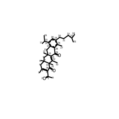 CC(=O)C1=C(C)CC2(C)CC3(C)Cc4c(C(C)C)cc(CCCC(C)C)c(C)c4C(=O)C3=C(C)C2(C)C1=O